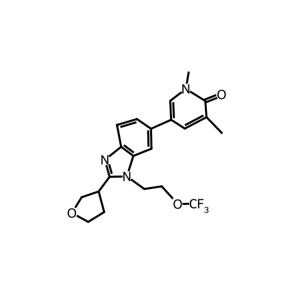 Cc1cc(-c2ccc3nc(C4CCOC4)n(CCOC(F)(F)F)c3c2)cn(C)c1=O